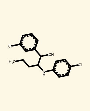 CCCC(Nc1ccc(Cl)cc1)C(O)c1cccc(Cl)c1